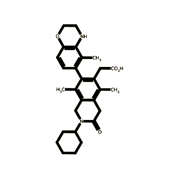 Cc1c2c(c(C)c(-c3ccc4c(c3C)NCCO4)c1CC(=O)O)CN(C1CCCCC1)C(=O)C2